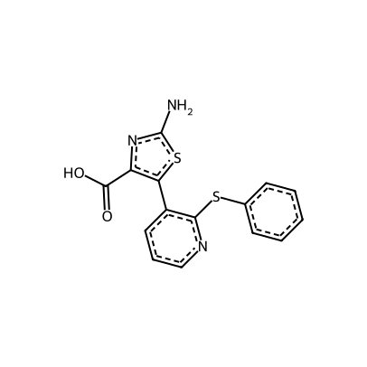 Nc1nc(C(=O)O)c(-c2cccnc2Sc2ccccc2)s1